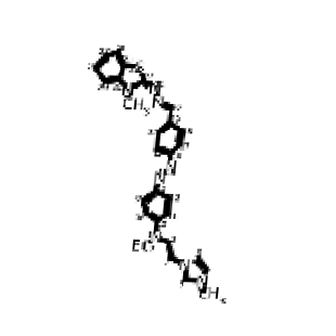 CCN(CC[n+]1ccn(C)c1)c1ccc(N=Nc2ccc(C=NN=c3sc4ccccc4n3C)cc2)cc1